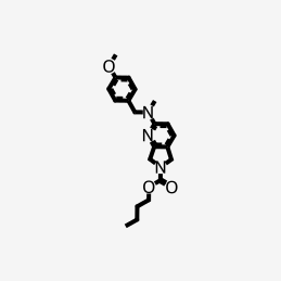 CCCCOC(=O)N1Cc2ccc(N(C)Cc3ccc(OC)cc3)nc2C1